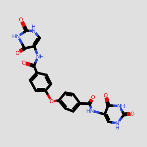 O=C(Nc1c[nH]c(=O)[nH]c1=O)c1ccc(Oc2ccc(C(=O)Nc3c[nH]c(=O)[nH]c3=O)cc2)cc1